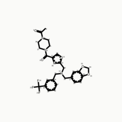 CC(=O)N1CCN(C(=O)c2csc(CN(Cc3cccc(C(F)(F)F)c3)Cc3ccc4c(c3)OCO4)n2)CC1